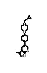 Ic1c[nH]c2ncc(-c3ccc(N4CCN(CC5CC5)CC4)cc3)cc12